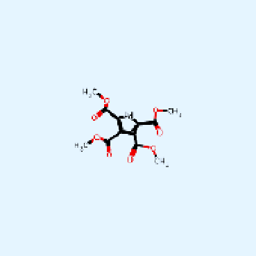 COC(=O)[C]1=C(C(=O)OC)C(C(=O)OC)=[C](C(=O)OC)[Pd]1